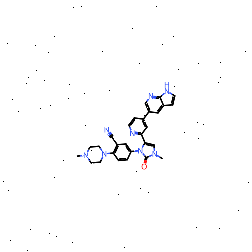 CN1CCN(c2ccc(-n3c(-c4cc(-c5cnc6[nH]ccc6c5)ccn4)cn(C)c3=O)cc2C#N)CC1